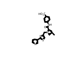 Cc1cc(C(=O)Nc2ccc(C(=O)O)cc2)n(Cc2csc(-c3cccnc3)n2)c1